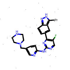 CC(C)c1[nH]nc2ccc(-c3nc(Nc4ccc(CN5CCNCC5)cn4)ncc3F)cc12